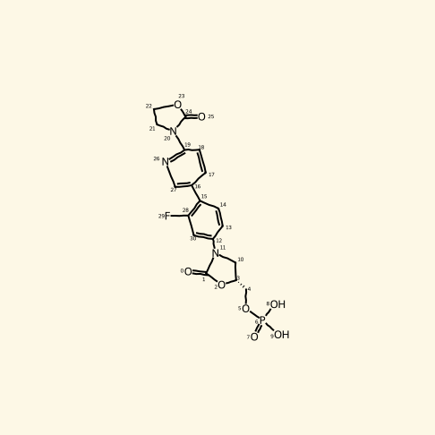 O=C1O[C@@H](COP(=O)(O)O)CN1c1ccc(-c2ccc(N3CCOC3=O)nc2)c(F)c1